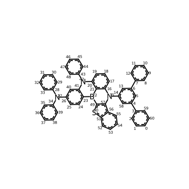 c1ccc(-c2cc(-c3ccccc3)cc(N3c4cccc5c4B(c4ccc(N(c6ccccc6)c6ccccc6)cc4N5c4ccccc4)c4sc5ccccc5c43)c2)cc1